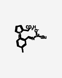 Cc1ccc([SH]2C=CC=C2CC(=O)O)c(/C=N/[S+]([O-])C(C)(C)C)c1